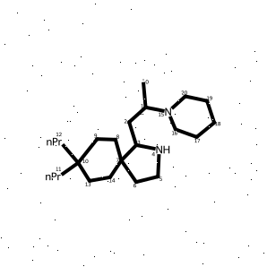 [CH2]C(CC1NCCC12CCC(CCC)(CCC)CC2)N1CCCCC1